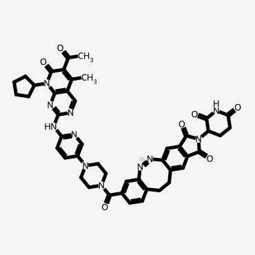 CC(=O)c1c(C)c2cnc(Nc3ccc(N4CCN(C(=O)c5ccc6c(c5)/N=N\c5cc7c(cc5CC6)C(=O)N(C5CCC(=O)NC5=O)C7=O)CC4)cn3)nc2n(C2CCCC2)c1=O